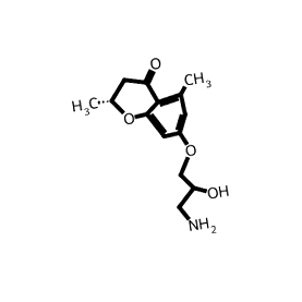 Cc1cc(OCC(O)CN)cc2c1C(=O)C[C@@H](C)O2